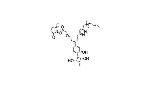 CCCC[N+](C)(C)Cc1cn(CCN(CCOCC(=O)ON2C(=O)CCC2=O)c2ccc(C3=C(O)C(C)C3O)c(O)c2)nn1